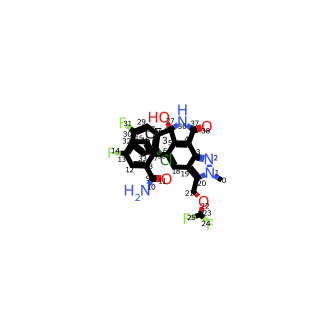 Cn1nc2c3c(c(-c4c(C(N)=O)cc(F)cc4C(F)(F)F)cc2c1COC(F)F)C(O)(c1cc(F)ccc1Cl)NC3=O